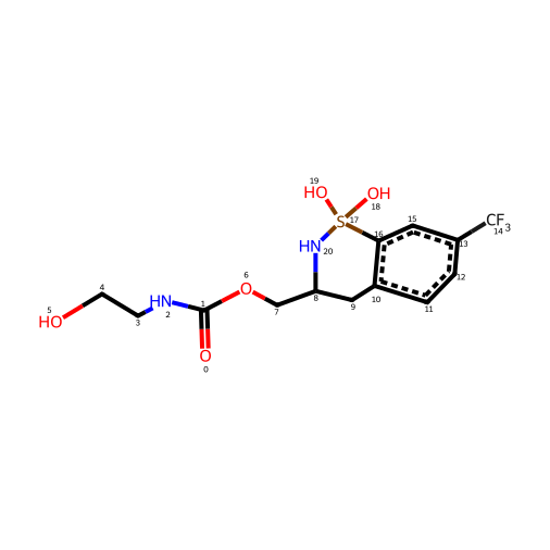 O=C(NCCO)OCC1Cc2ccc(C(F)(F)F)cc2S(O)(O)N1